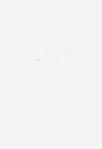 Cc1ccc(NC(=O)c2cccc(C(F)(F)F)c2)cc1NC(=O)c1ccc2nc(NC(=O)NCc3ccccc3)sc2c1